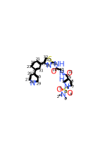 CN(C)S(=O)(=O)n1ccc(C(=O)NCC(=O)Nc2nc(-c3cccc(-c4ccncc4)c3)cs2)c1